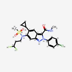 CNC(=O)c1c2cc(C3CC3)c(N(CCC(F)F)S(C)(=O)=O)cc2nn1-c1ccc(Cl)cc1